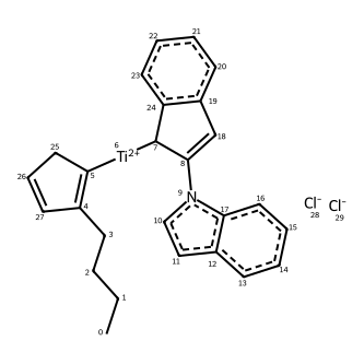 CCCCC1=[C]([Ti+2][CH]2C(n3ccc4ccccc43)=Cc3ccccc32)CC=C1.[Cl-].[Cl-]